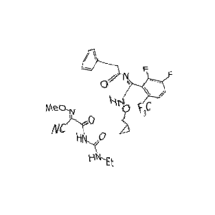 CCNC(=O)NC(=O)/C(C#N)=N/OC.O=C(Cc1ccccc1)/N=C(\NOCC1CC1)c1c(C(F)(F)F)ccc(F)c1F